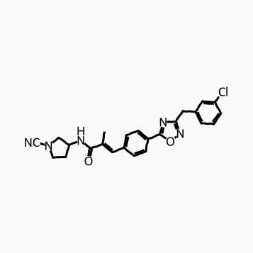 C/C(=C\c1ccc(-c2nc(Cc3cccc(Cl)c3)no2)cc1)C(=O)NC1CCN(C#N)C1